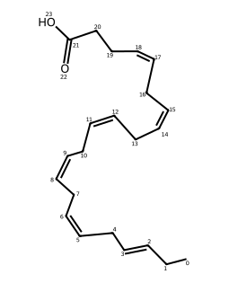 CCC=CC/C=C\C/C=C\C/C=C\C/C=C\C/C=C\CCC(=O)O